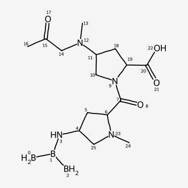 BB(B)NC1CC(C(=O)N2CC(N(C)CC(C)=O)CC2C(=O)O)N(C)C1